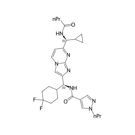 CCCC(=O)N[C@H](c1ccn2cc([C@@H](NC(=O)c3cnn(CCC)c3)C3CCC(F)(F)CC3)nc2n1)C1CC1